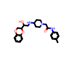 Cc1ccc(NC(=O)CN2CCC(NCC(O)C3COc4ccccc4O3)CC2)cc1